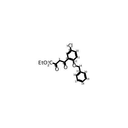 CCOC(=O)C(=O)CC(=O)c1cc(Cl)ccc1OCc1ccccc1